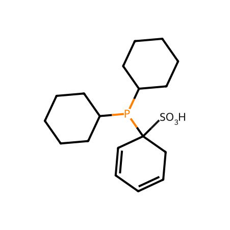 O=S(=O)(O)C1(P(C2CCCCC2)C2CCCCC2)C=CC=CC1